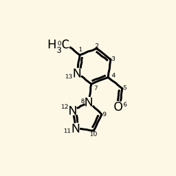 Cc1ccc(C=O)c(-n2ccnn2)n1